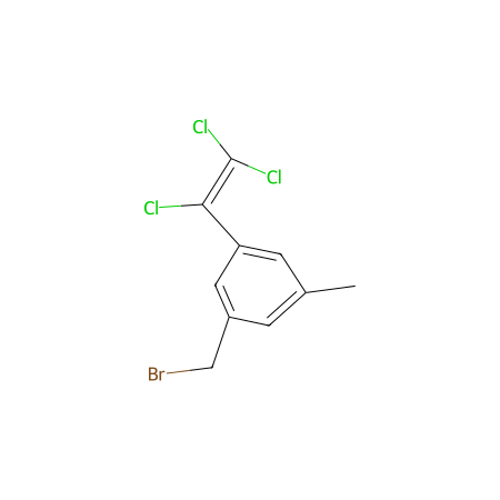 Cc1cc(CBr)cc(C(Cl)=C(Cl)Cl)c1